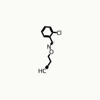 C#CCCON=[C]c1ccccc1Cl